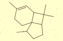 CC1=CC2C(C)(C)C3CCC(C)C23CC1